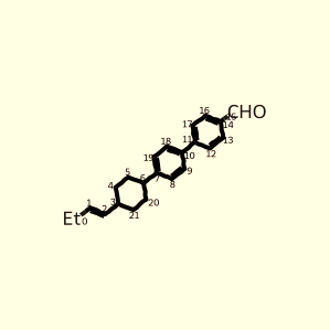 CCC=CC1CCC(c2ccc(-c3ccc(C=O)cc3)cc2)CC1